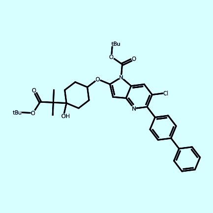 CC(C)(C)OC(=O)n1c(OC2CCC(O)(C(C)(C)C(=O)OC(C)(C)C)CC2)cc2nc(-c3ccc(-c4ccccc4)cc3)c(Cl)cc21